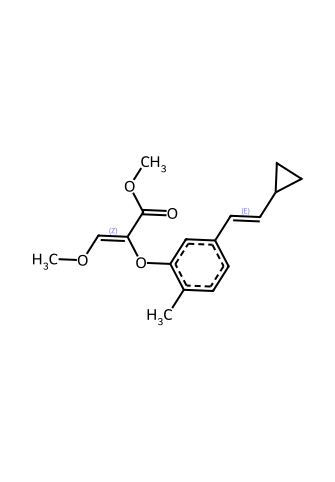 CO/C=C(\Oc1cc(/C=C/C2CC2)ccc1C)C(=O)OC